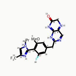 COc1cc(Cc2ncc3c(n2)=NC(=O)CN=3)cc(F)c1-c1nc(C(F)(F)F)cn1C(C)C